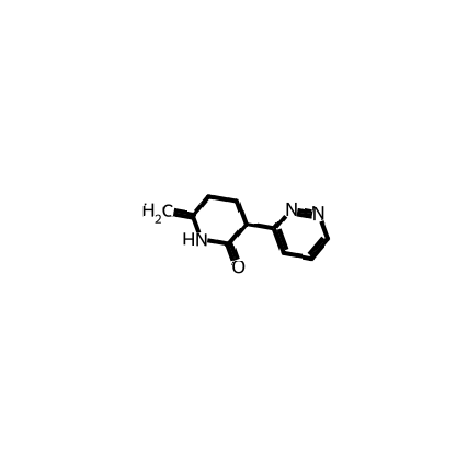 C=C1CCC(c2cccnn2)C(=O)N1